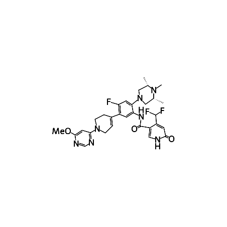 COc1cc(N2CC=C(c3cc(NC(=O)c4c[nH]c(=O)cc4C(F)F)c(N4C[C@@H](C)N(C)[C@@H](C)C4)cc3F)CC2)ncn1